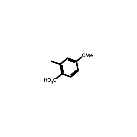 [CH2]c1cc(OC)ccc1C(=O)O